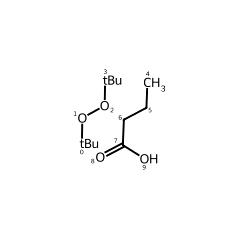 CC(C)(C)OOC(C)(C)C.CCCC(=O)O